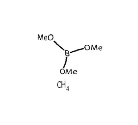 C.COB(OC)OC